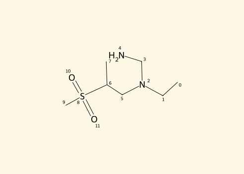 CCN(CN)CC(C)S(C)(=O)=O